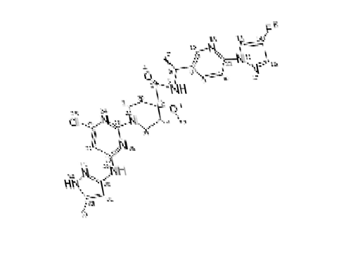 COC1(C(=O)N[C@@H](C)c2ccc(-n3cc(F)cn3)nc2)CCN(c2nc(Cl)cc(Nc3cc(C)[nH]n3)n2)CC1